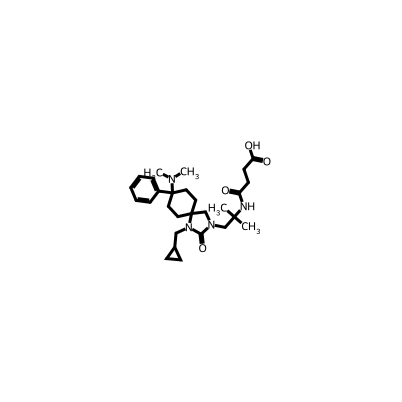 CN(C)C1(c2ccccc2)CCC2(CC1)CN(CC(C)(C)NC(=O)CCC(=O)O)C(=O)N2CC1CC1